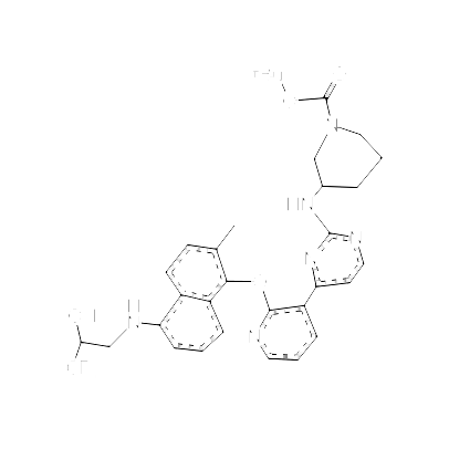 Cc1ccc2c(NCC(O)C(F)(F)F)cccc2c1Oc1ncccc1-c1ccnc(NC2CCCN(C(=O)OC(C)(C)C)C2)n1